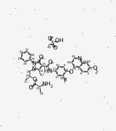 COc1ccc2c(Oc3ccc(NC(=O)c4c(C)n(C[C@H](C)OC(=O)[C@H](C)N)n(-c5ccccc5)c4=O)cc3F)ccnc2c1.CS(=O)(=O)O